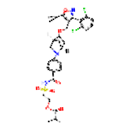 CC(C)C(=O)OCCS(=O)(=O)NC(=O)c1ccc(N2C[C@@H]3C[C@H]2C[C@H]3OCc2c(-c3c(Cl)cccc3Cl)noc2C2CC2)cc1